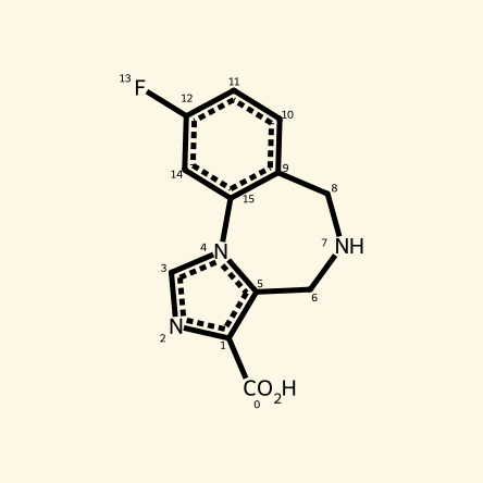 O=C(O)c1ncn2c1CNCc1ccc(F)cc1-2